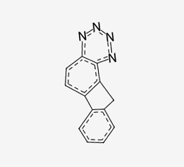 c1ccc2c(c1)Cc1c-2ccc2nnnnc12